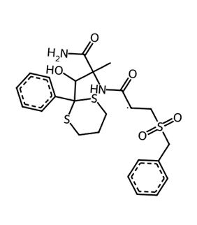 CC(NC(=O)[CH]CS(=O)(=O)Cc1ccccc1)(C(N)=O)C(O)C1(c2ccccc2)SCCCS1